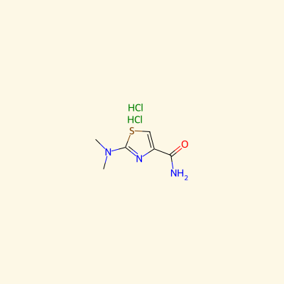 CN(C)c1nc(C(N)=O)cs1.Cl.Cl